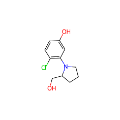 OCC1CCCN1c1cc(O)ccc1Cl